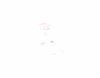 CCCCCCCCCOC(=O)CCCCCCCN(CCCCCCCC(=O)OC(CCCCCCCC)CCCCCCCC)CCCNC1=C(NCCOC)C(O)C1=O